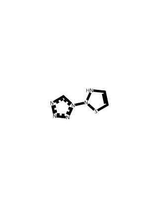 [c]1nnnn1N1NC=CS1